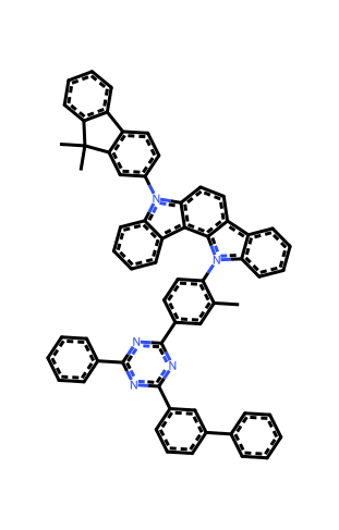 Cc1cc(-c2nc(-c3ccccc3)nc(-c3cccc(-c4ccccc4)c3)n2)ccc1-n1c2ccccc2c2ccc3c(c4ccccc4n3-c3ccc4c(c3)C(C)(C)c3ccccc3-4)c21